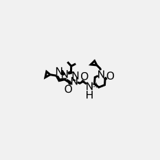 CC(C)c1nn(CC(=O)N[C@H]2CCC(=O)N(CC3CC3)C2)c(=O)c2cc(C3CC3)nn12